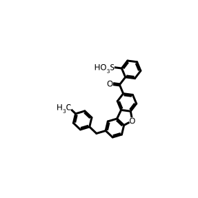 Cc1ccc(Cc2ccc3oc4ccc(C(=O)c5ccccc5S(=O)(=O)O)cc4c3c2)cc1